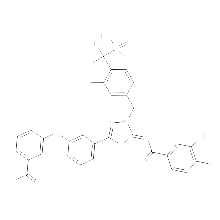 O=C(O)c1cccc(Oc2cccc(-c3nn(Cc4ccc(C(F)(F)P(=O)(O)O)c(Br)c4)/c(=N/C(=O)c4ccc(Cl)c(Cl)c4)s3)c2)c1